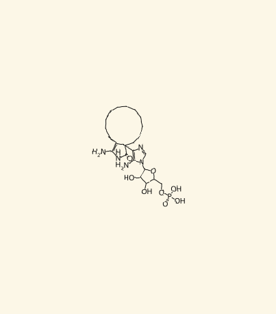 NC1=C2CCCCCCCCCCCC2(c2ncn(C3OC(COP(=O)(O)O)C(O)C3O)c2N)C(=O)N1